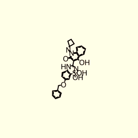 O=c1c(C2=NS(O)(O)c3cc(OCc4ccccc4)ccc3N2)c(O)c2ccccc2n1N=C1CCC1